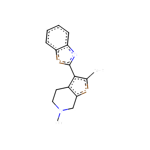 CCCN1CCc2c(sc(NC(C)=O)c2-c2nc3ccccc3s2)C1